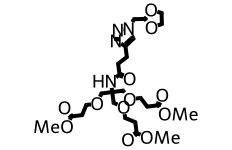 COC(=O)CCOCC(COCCC(=O)OC)(COCCC(=O)OC)NC(=O)CCc1cn(CC2OCCO2)nn1